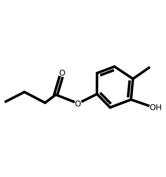 CCCC(=O)Oc1ccc(C)c(O)c1